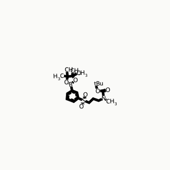 CN(CCCS(=O)(=O)c1cccc(B2OC(C)(C)C(C)(C)O2)c1)C(=O)OC(C)(C)C